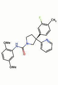 COc1ccc(OC)c(NC(=O)N2CC[C@](c3ccc(C)c(F)c3)(c3ccccn3)C2)c1